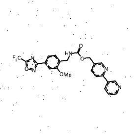 COc1cc(-c2noc(C(F)(F)F)n2)ccc1CNC(=O)OCc1ccc(-c2cccnc2)nc1